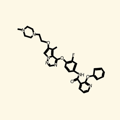 Cc1c(OCCN2CCN(C)CC2)cn2ncnc(Oc3ccc(NC(=O)c4cccnc4Oc4ccccc4)cc3F)c12